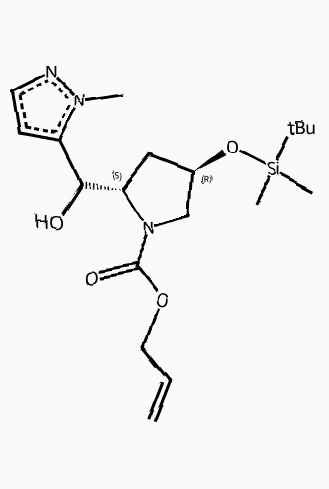 C=CCOC(=O)N1C[C@H](O[Si](C)(C)C(C)(C)C)C[C@H]1C(O)c1ccnn1C